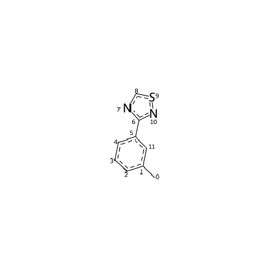 Cc1cccc(-c2ncsn2)c1